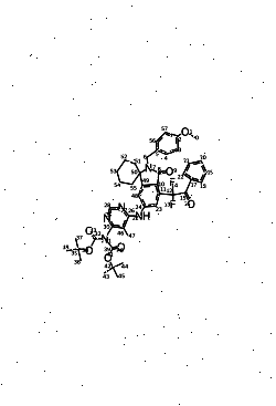 COc1ccc(CN2C(=O)c3c(C(F)(F)C(=O)c4ccccc4)cc(Nc4ncnc(N(C(=O)OC(C)(C)C)C(=O)OC(C)(C)C)c4C)cc3C23CCCCC3)cc1